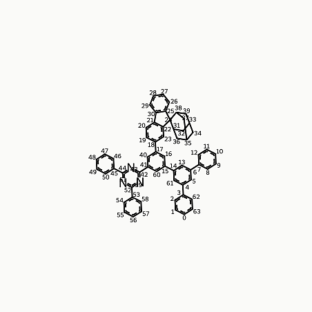 c1ccc(-c2cc(-c3ccccc3)cc(-c3cc(-c4ccc5c(c4)C4(c6ccccc6-5)C5CC6CC(C5)CC4C6)cc(-c4nc(-c5ccccc5)nc(-c5ccccc5)n4)c3)c2)cc1